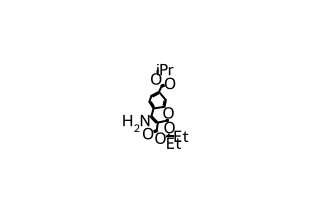 CCC1(CC)OC(=O)C(=C(N)c2ccc(C(=O)OC(C)C)cc2)C(=O)O1